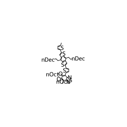 CCCCCCCCCCCCc1c2cc(-c3ccc(-c4c(OCCCCCCCC)c(OCCCCCCCC)c(C)c5nsnc45)s3)sc2c(CCCCCCCCCCCC)c2cc(-c3ccc(C)s3)sc12